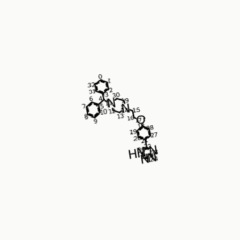 c1ccc(C(c2ccccc2)N2CCN(CCOc3ccc(-c4nnn[nH]4)cc3)CC2)cc1